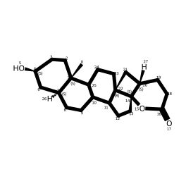 C[C@]12CC[C@H](O)C[C@@H]1CCC1C3CC[C@]45OC(=O)CC[C@H]4C[C@]35CCC12